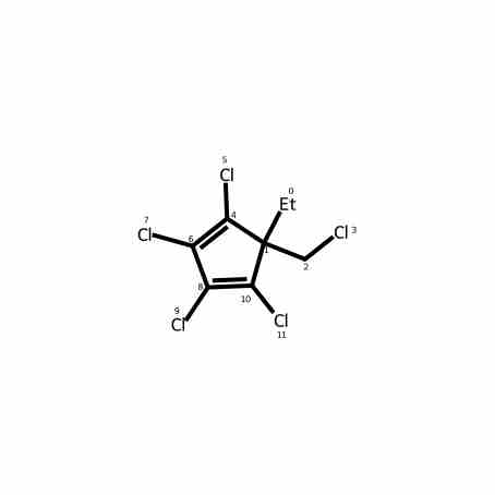 CCC1(CCl)C(Cl)=C(Cl)C(Cl)=C1Cl